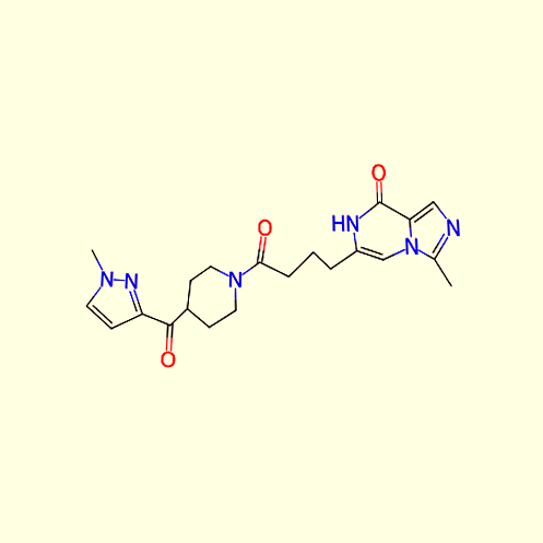 Cc1ncc2c(=O)[nH]c(CCCC(=O)N3CCC(C(=O)c4ccn(C)n4)CC3)cn12